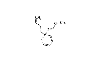 C=CCCC1(OCOC)C=CC=CC1